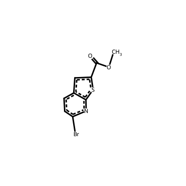 COC(=O)c1cc2ccc(Br)nc2s1